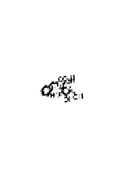 O=C(O)[C@H](Cc1ccccc1)NC1(CO)O[C@H](CO)[C@@H](O)[C@@H]1O